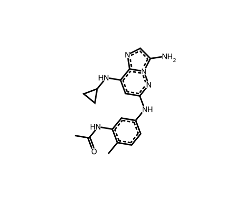 CC(=O)Nc1cc(Nc2cc(NC3CC3)c3ncc(N)n3n2)ccc1C